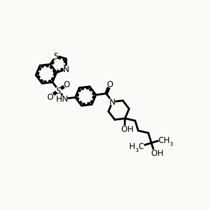 CC(C)(O)CCCC1(O)CCN(C(=O)c2ccc(NS(=O)(=O)c3cccc4scnc34)cc2)CC1